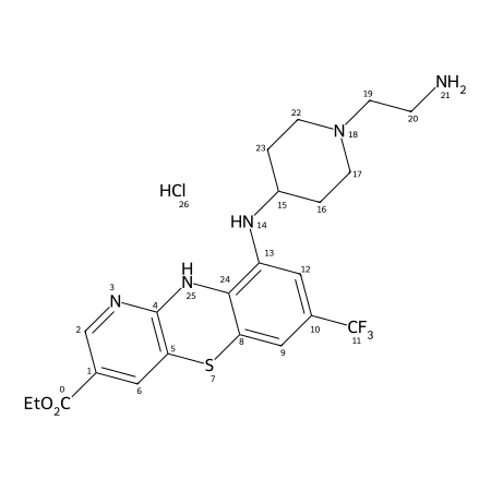 CCOC(=O)c1cnc2c(c1)Sc1cc(C(F)(F)F)cc(NC3CCN(CCN)CC3)c1N2.Cl